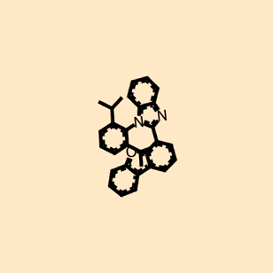 CC(C)c1cccc(C(C)C)c1-n1c(-c2cccc3c2oc2ccccc23)nc2ccccc21